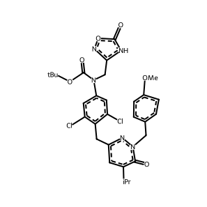 COc1ccc(Cn2nc(Cc3c(Cl)cc(N(Cc4noc(=O)[nH]4)C(=O)OC(C)(C)C)cc3Cl)cc(C(C)C)c2=O)cc1